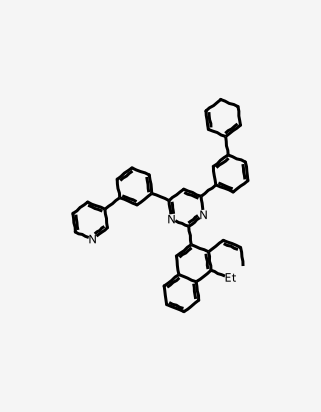 C/C=C\c1c(-c2nc(-c3cccc(C4=CCCC=C4)c3)cc(-c3cccc(-c4cccnc4)c3)n2)cc2ccccc2c1CC